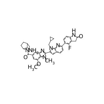 COc1cc(C(=O)N2CC3CCC2C3N)cc2nc(-c3cc4ccc(-c5ccc6c(c5F)CC(=O)N6)nc4n3CC3CC3)n(C)c12